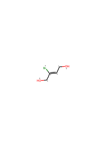 OCC=C(Br)CO